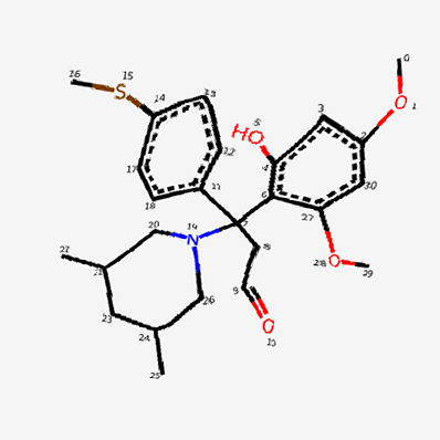 COc1cc(O)c(C(CC=O)(c2ccc(SC)cc2)N2CC(C)CC(C)C2)c(OC)c1